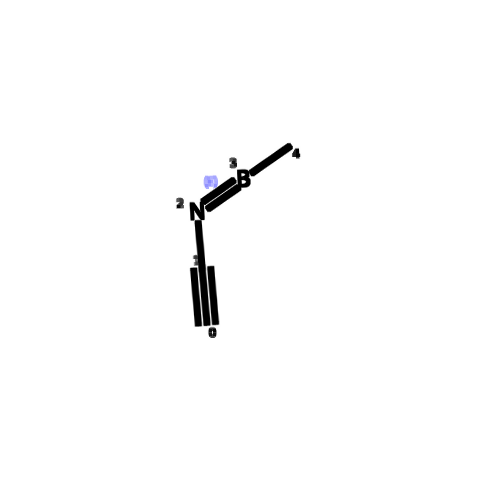 C#C/N=B/C